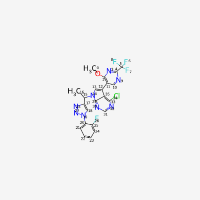 COc1nc(C(F)(F)F)ncc1-c1cn(C(C)c2cn(-c3ccccc3F)nn2)c2ncnc(Cl)c12